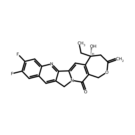 C=C1C[C@](O)(CC)c2cc3n(c(=O)c2CO1)Cc1cc2cc(F)c(F)cc2nc1-3